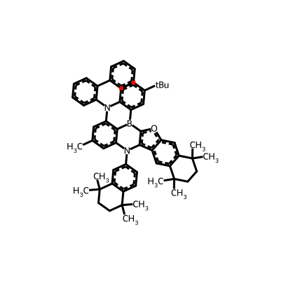 Cc1cc2c3c(c1)N(c1ccc4c(c1)C(C)(C)CCC4(C)C)c1c(oc4cc5c(cc14)C(C)(C)CCC5(C)C)B3c1cc(C(C)(C)C)ccc1N2c1ccccc1-c1ccccc1